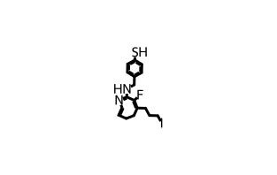 FC1=C(\CCCI)CC/C=C/N=C\1NCc1ccc(S)cc1